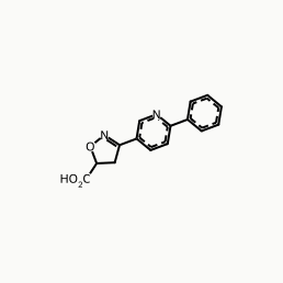 O=C(O)C1CC(c2ccc(-c3ccccc3)nc2)=NO1